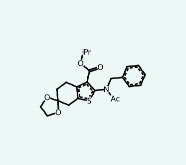 CC(=O)N(Cc1ccccc1)c1sc2c(c1C(=O)OC(C)C)CCC1(C2)OCCO1